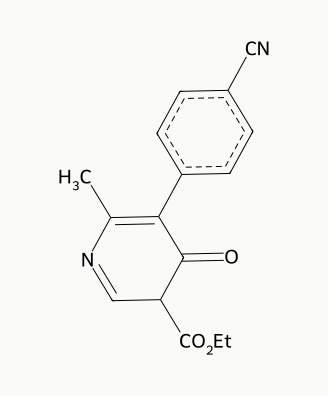 CCOC(=O)C1C=NC(C)=C(c2ccc(C#N)cc2)C1=O